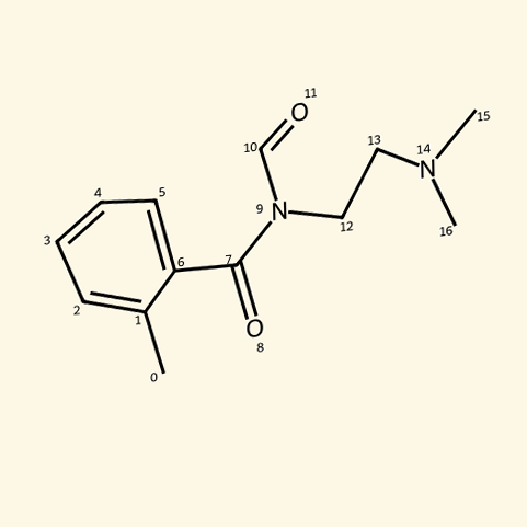 Cc1ccccc1C(=O)N(C=O)CCN(C)C